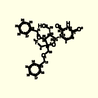 O=c1ccn([C@@H]2O[C@](CF)(COCc3ccccc3)[C@@H](OCc3ccccc3)[C@@H]2CO)c(=O)[nH]1